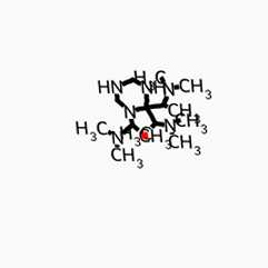 CC(N(C)C)N1CNCNC1(C(C)N(C)C)C(C)N(C)C